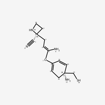 N#C[C@@]1(CC=C(N)OC2=CC[C@](N)(CS)C=C2)CCN1